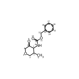 CC1COCC(=O)C1NC(=O)OCc1ccccc1